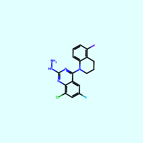 NNc1nc(N2CCCc3c(I)cccc32)c2cc(F)cc(Cl)c2n1